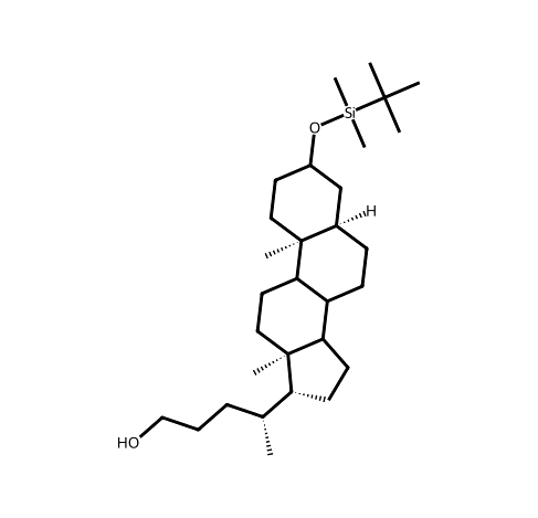 C[C@H](CCCO)[C@H]1CCC2C3CC[C@@H]4CC(O[Si](C)(C)C(C)(C)C)CC[C@]4(C)C3CC[C@@]21C